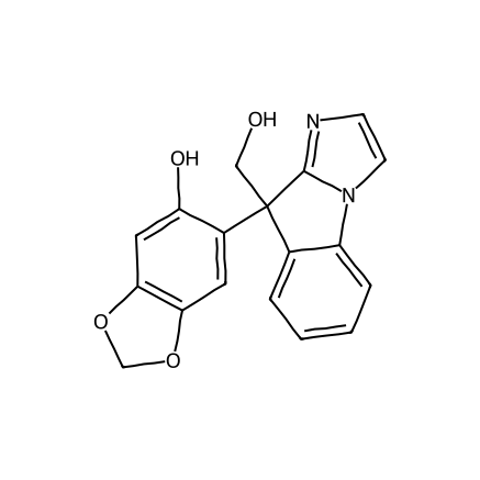 OCC1(c2cc3c(cc2O)OCO3)c2ccccc2-n2ccnc21